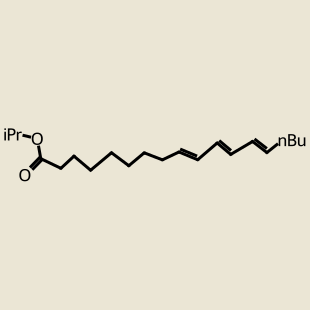 CCCCC=CC=CC=CCCCCCCCC(=O)OC(C)C